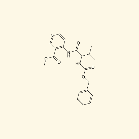 COC(=O)c1cnccc1NC(=O)C(NC(=O)OCc1ccccc1)C(C)C